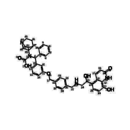 O=C(O)N(C(c1ccccc1)c1cccc(OCc2ccc(CNCC(O)c3ccc(O)c4[nH]c(=O)ccc34)cc2)c1)C1CN2CCC1CC2